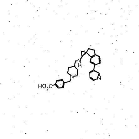 O=C(O)c1ccc(CN2CCC(CNC3CC34CCc3ccc(-c5cccnc5)cc34)CC2)cc1